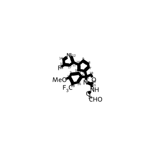 COc1ccc(C2(c3cccc(-c4cncc(F)c4)c3)COC(NOC=O)=N2)cc1C(F)(F)F